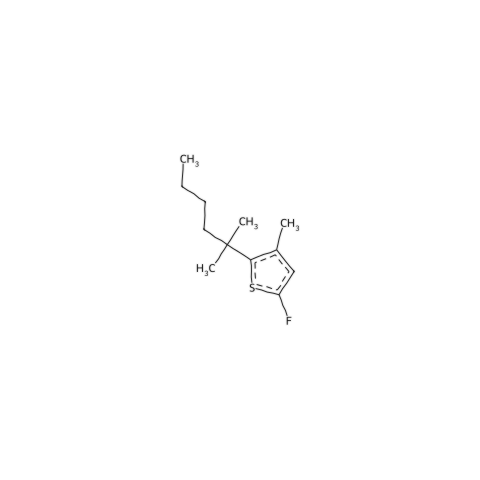 CCCCC(C)(C)c1sc(F)cc1C